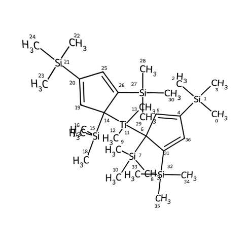 C[Si](C)(C)C1=C[C]([Si](C)(C)C)([Ti]([CH3])([CH3])[C]2([Si](C)(C)C)C=C([Si](C)(C)C)C=C2[Si](C)(C)C)C([Si](C)(C)C)=C1